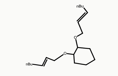 CCCCC=CCOC1CCCCC1OCC=CCCCC